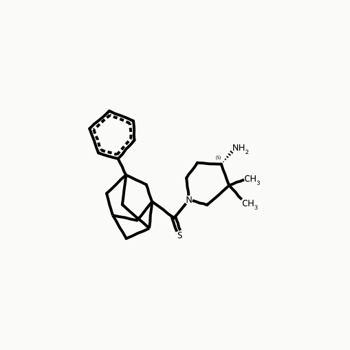 CC1(C)CN(C(=S)C23CC4CC2CC(c2ccccc2)(C4)C3)CC[C@@H]1N